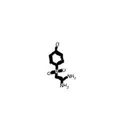 NC(N)=CS(=O)(=O)c1ccc(Cl)cc1